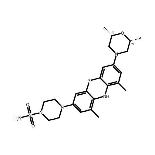 Cc1cc(N2CCN(S(N)(=O)=O)CC2)cc2c1Nc1c(C)cc(N3C[C@@H](C)O[C@@H](C)C3)cc1S2